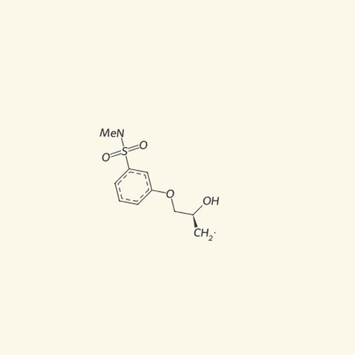 [CH2][C@H](O)COc1cccc(S(=O)(=O)NC)c1